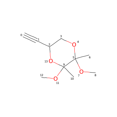 C#CC1COC(C)(OC)C(C)(OC)O1